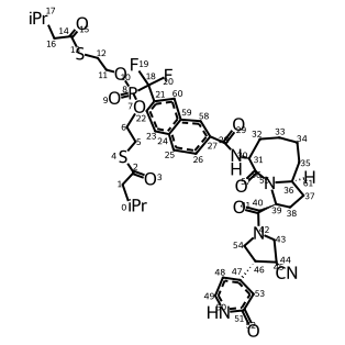 CC(C)CC(=O)SCCOP(=O)(OCCSC(=O)CC(C)C)C(F)(F)c1ccc2ccc(C(=O)N[C@H]3CCCC[C@H]4CC[C@@H](C(=O)N5C[C@@H](C#N)[C@H](c6cc[nH]c(=O)c6)C5)N4C3=O)cc2c1